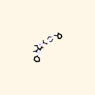 Cc1nn(C(C)C(=O)N2CCN(Cc3ccccc3)CC2)c(=O)c2nn(-c3ccccc3)c(C)c12